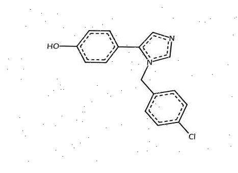 Oc1ccc(-c2cncn2Cc2ccc(Cl)cc2)cc1